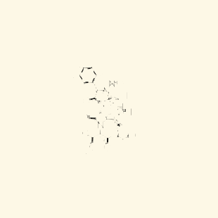 C=C(C)C(C(=O)OCC(Cl)(Cl)Cl)N1C(=O)C(N2C(=O)C(c3ccccc3)N(N=O)C2(C)C)C1S(=O)O